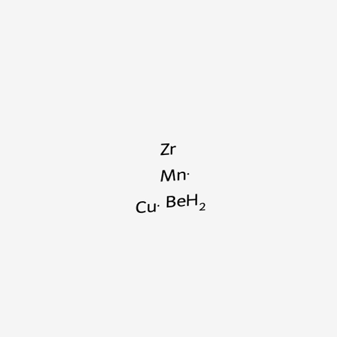 [BeH2].[Cu].[Mn].[Zr]